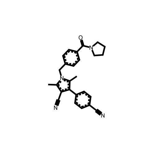 Cc1c(C#N)c(-c2ccc(C#N)cc2)c(C)n1Cc1ccc(C(=O)N2CCCC2)cc1